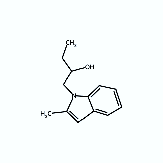 CCC(O)Cn1c(C)cc2ccccc21